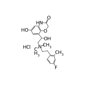 Cc1cc(F)ccc1CC[N+](C)(C)CC(O)c1cc(O)cc2c1OCC(=O)N2.Cl